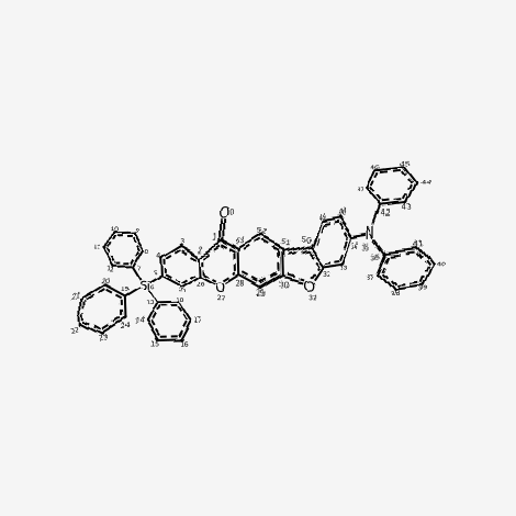 O=c1c2ccc([Si](c3ccccc3)(c3ccccc3)c3ccccc3)cc2oc2cc3oc4cc(N(c5ccccc5)c5ccccc5)ccc4c3cc12